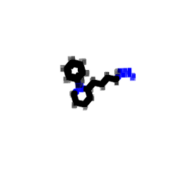 NCCCCC1CCCCN1c1ccccc1